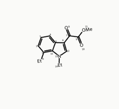 CCc1cccc2c(C(=O)C(=O)OC)cn(CC)c12